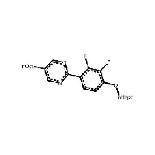 CCCCCCCCc1cnc(-c2ccc(OCCCCCCC)c(F)c2F)nc1